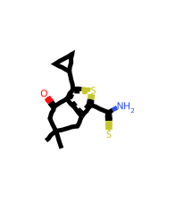 CC1(C)CC(=O)c2c(C3CC3)sc(C(N)=S)c2C1